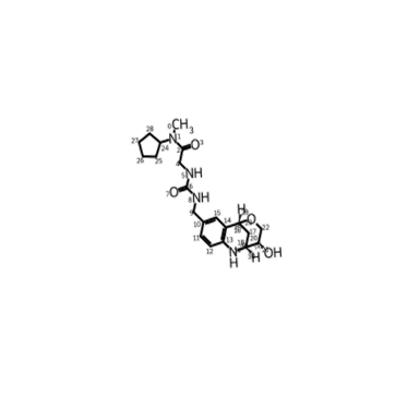 CN(C(=O)CNC(=O)NCc1ccc2c(c1)[C@H]1C[C@@H](N2)[C@H](O)CO1)C1CCCC1